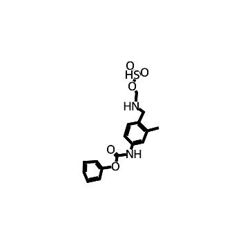 Cc1cc(NC(=O)Oc2ccccc2)ccc1CNCO[SH](=O)=O